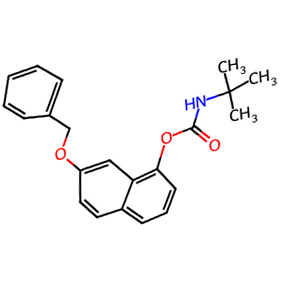 CC(C)(C)NC(=O)Oc1cccc2ccc(OCc3ccccc3)cc12